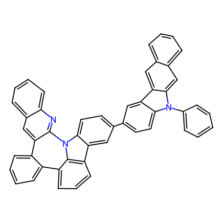 c1ccc(-n2c3ccc(-c4ccc5c(c4)c4cccc6c4n5-c4nc5ccccc5cc4-c4ccccc4-6)cc3c3cc4ccccc4cc32)cc1